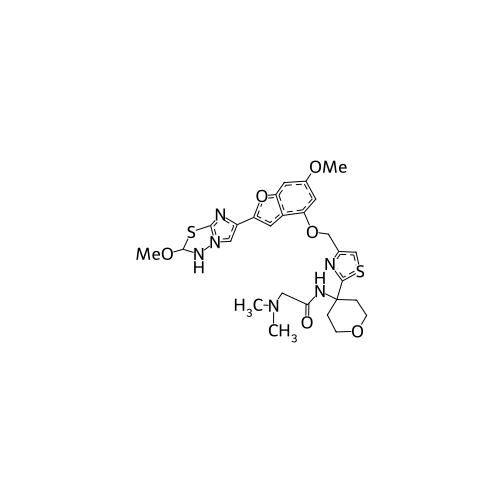 COc1cc(OCc2csc(C3(NC(=O)CN(C)C)CCOCC3)n2)c2cc(-c3cn4c(n3)SC(OC)N4)oc2c1